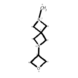 CN1CC2(C1)CN(C1COC1)C2